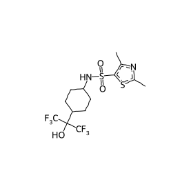 Cc1nc(C)c(S(=O)(=O)NC2CCC(C(O)(C(F)(F)F)C(F)(F)F)CC2)s1